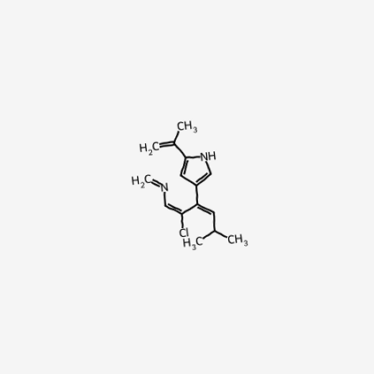 C=N/C=C(Cl)\C(=C/C(C)C)c1c[nH]c(C(=C)C)c1